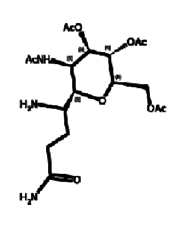 CC(=O)N[C@H]1[C@@H](OC(C)=O)[C@H](OC(C)=O)[C@@H](COC(C)=O)O[C@H]1C(N)CCC(N)=O